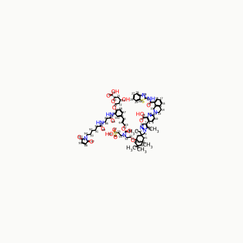 CCC1(Cn2ncc(-c3ccc(N4CCc5cccc(C(=O)Nc6nc7ccccc7s6)c5C4)nc3C(=O)O)c2C)CC2(C)CC(C)(C)CC(OCCN(CCS(=O)(=O)O)C(=O)OC/C=C/c3ccc(O[C@H]4C[C@@H](O)C[C@@H](C(=O)O)O4)c(NC(=O)CCNC(=O)CCCCCN4C(=O)C=CC4=O)c3)(C2)C1